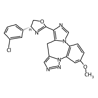 COc1ccc2c(c1)-n1nncc1Cc1c(C3=N[C@H](c4cccc(Cl)c4)CO3)ncn1-2